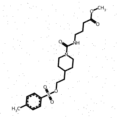 COC(=O)CCCNC(=O)N1CCC(CCOS(=O)(=O)c2ccc(C)cc2)CC1